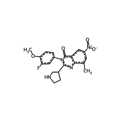 COc1ccc(-n2c(C3CCNC3)nc3c(C)cc([N+](=O)[O-])cc3c2=O)cc1F